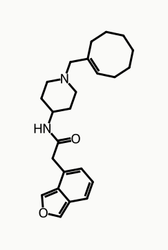 O=C(Cc1cccc2cocc12)NC1CCN(CC2=CCCCCCC2)CC1